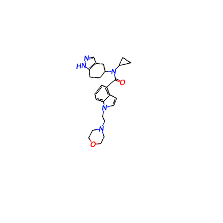 O=C(c1cccc2c1ccn2CCN1CCOCC1)N(C1CC1)C1CCc2[nH]ncc2C1